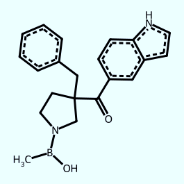 CB(O)N1CCC(Cc2ccccc2)(C(=O)c2ccc3[nH]ccc3c2)C1